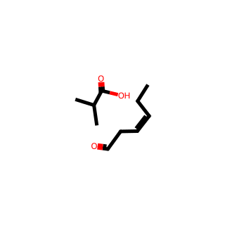 CC(C)C(=O)O.CC/C=C\CC=O